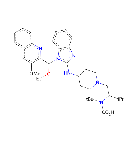 CCOC(c1nc2ccccc2cc1OC)n1c(NC2CCN(CC(C(C)C)N(C(=O)O)C(C)(C)C)CC2)nc2ccccc21